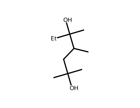 CCC(C)(O)C(C)CC(C)(C)O